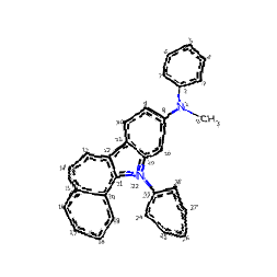 CN(c1ccccc1)c1ccc2c3ccc4ccccc4c3n(-c3ccccc3)c2c1